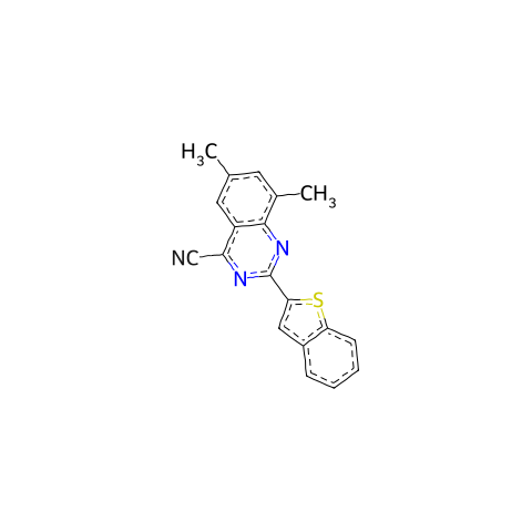 Cc1cc(C)c2nc(-c3cc4ccccc4s3)nc(C#N)c2c1